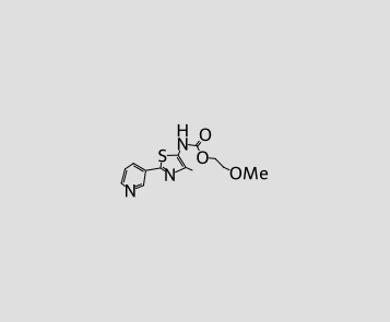 COCCOC(=O)Nc1sc(-c2cccnc2)nc1C